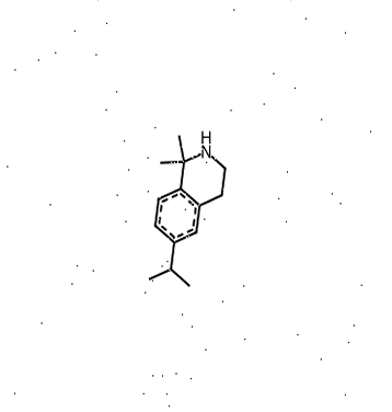 CC(C)c1ccc2c(c1)CCNC2(C)C